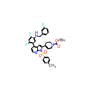 Cc1ccc(S(=O)(=O)n2c(C3=CCN(C(=O)OC(C)(C)C)CC3)cc3c(-c4cc(NCc5cccc(F)c5)c(F)cc4F)ccnc32)cc1